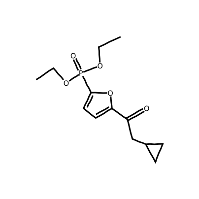 CCOP(=O)(OCC)c1ccc(C(=O)CC2CC2)o1